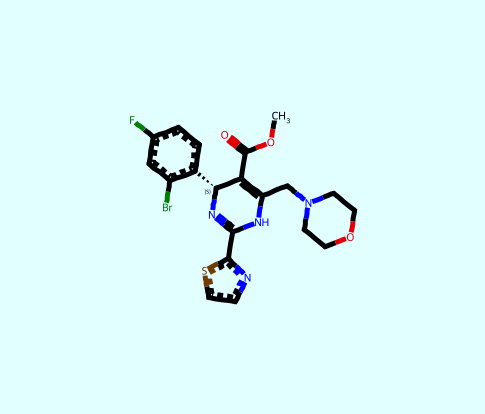 COC(=O)C1=C(CN2CCOCC2)NC(c2nccs2)=N[C@@H]1c1ccc(F)cc1Br